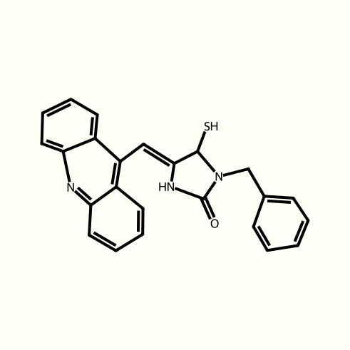 O=C1NC(=Cc2c3ccccc3nc3ccccc23)C(S)N1Cc1ccccc1